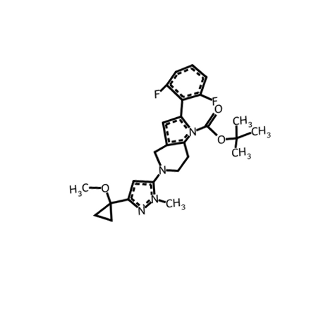 COC1(c2cc(N3CCc4c(cc(-c5c(F)cccc5F)n4C(=O)OC(C)(C)C)C3)n(C)n2)CC1